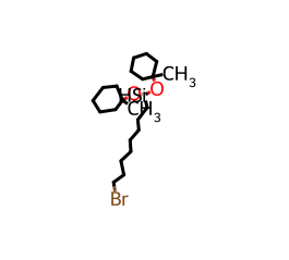 CC1(O[SiH](CCCCCCCCBr)OC2(C)CCCCC2)CCCCC1